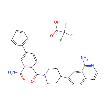 NC(=O)c1cc(-c2ccccc2)ccc1C(=O)N1CCC(c2ccc3ccnc(N)c3c2)CC1.O=C(O)C(F)(F)F